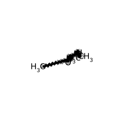 CCCCCCCCCCCCCCCC(=O)N1CCC(CCn2ccnc2C(C)C)CC1